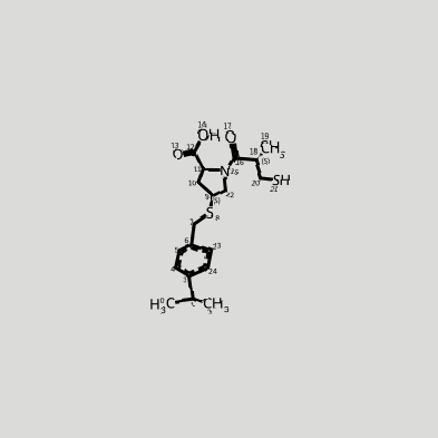 CC(C)c1ccc(CS[C@H]2CC(C(=O)O)N(C(=O)[C@H](C)CS)C2)cc1